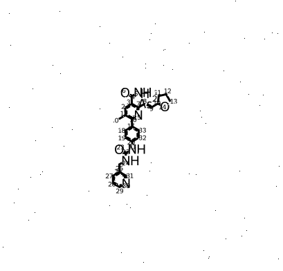 Cc1cc(C(N)=O)c([AsH]CC2CCCO2)nc1-c1ccc(NC(=O)NCc2cccnc2)cc1